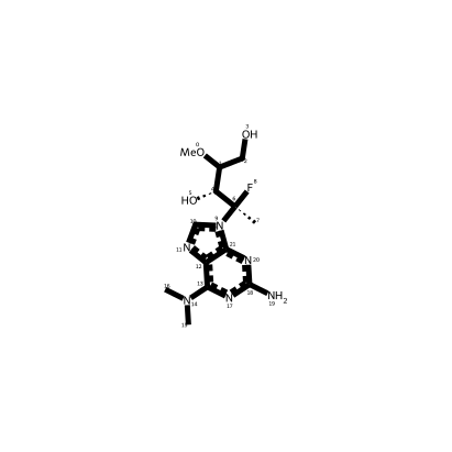 COC(CO)[C@@H](O)[C@@](C)(F)n1cnc2c(N(C)C)nc(N)nc21